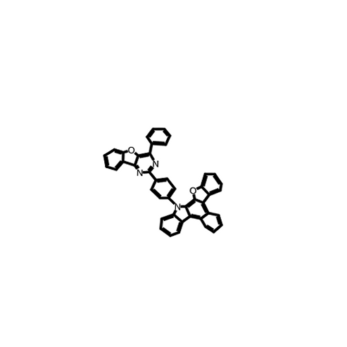 c1ccc(-c2nc(-c3ccc(-n4c5ccccc5c5c6ccccc6c6c7ccccc7oc6c54)cc3)nc3c2oc2ccccc23)cc1